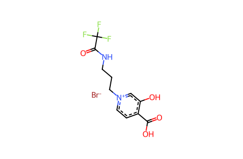 O=C(O)c1cc[n+](CCCNC(=O)C(F)(F)F)cc1O.[Br-]